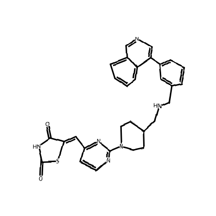 O=C1NC(=O)/C(=C/c2ccnc(N3CCC(CNCc4cccc(-c5cncc6ccccc56)c4)CC3)n2)S1